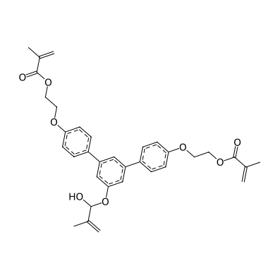 C=C(C)C(=O)OCCOc1ccc(-c2cc(OC(O)C(=C)C)cc(-c3ccc(OCCOC(=O)C(=C)C)cc3)c2)cc1